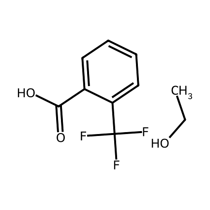 CCO.O=C(O)c1ccccc1C(F)(F)F